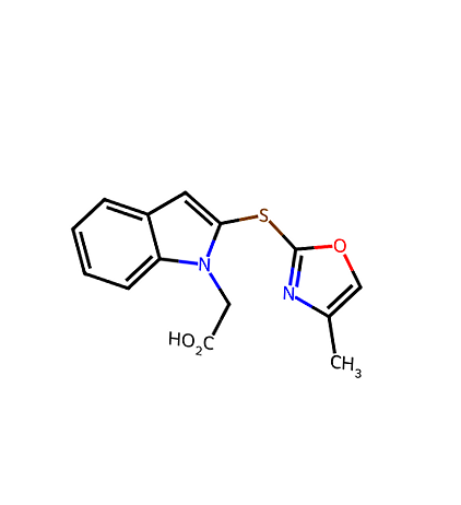 Cc1coc(Sc2cc3ccccc3n2CC(=O)O)n1